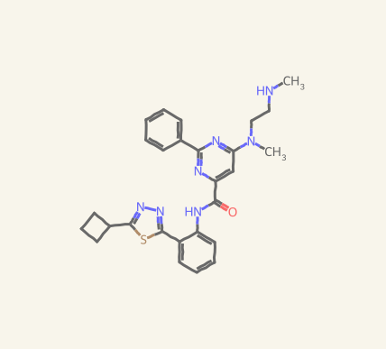 CNCCN(C)c1cc(C(=O)Nc2ccccc2-c2nnc(C3CCC3)s2)nc(-c2ccccc2)n1